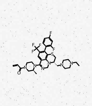 C=CC(=O)N1CCN(C2=NCN3c4c2cc(C(F)(F)F)c(-c2ccc(F)cc2F)c4SC[C@@H]3CN2CCN(CC)CC2)[C@@H](C)C1